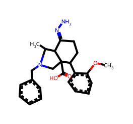 COc1ccccc1C1CCC(=NN)C2C(C)N(Cc3ccccc3)CC12C(=O)O